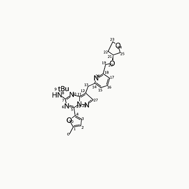 Cc1ccc(-c2nc(NC(C)(C)C)nc3c(Cc4cccc(CO[C@H]5CCOC5)n4)cnn23)o1